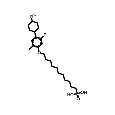 CCCC1CCC(c2cc(C)c(OCCCCCCCCCCCP(=O)(O)O)cc2F)CC1